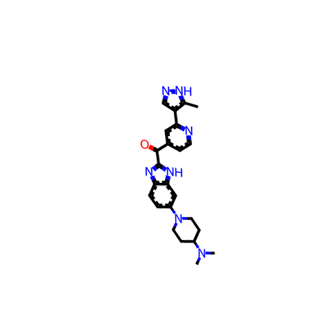 Cc1[nH]ncc1-c1cc(C(=O)c2nc3ccc(N4CCC(N(C)C)CC4)cc3[nH]2)ccn1